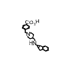 O=C(O)c1ccc(CN2CCC(CNC3C4Cc5ccccc5C43)CC2)cc1